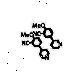 COc1ccc(-c2cccnc2)cc1C#N.COc1ccc(-c2ccncc2)cc1C#N